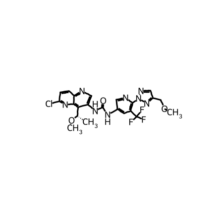 COCc1cnn(-c2ncc(NC(=O)Nc3cnc4ccc(Cl)nc4c3[C@H](C)OC)cc2C(F)(F)F)n1